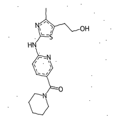 Cc1nc(Nc2ccc(C(=O)N3CCCCC3)cn2)sc1CCO